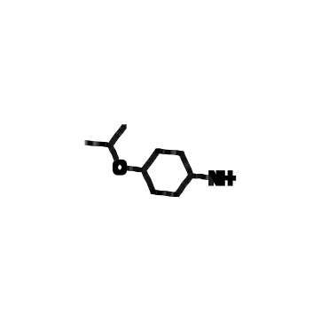 CC(C)OC1CCC([NH])CC1